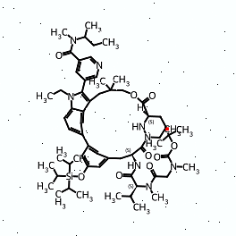 CCC(C)N(C)C(=O)c1cncc(-c2c3c4cc(ccc4n2CC)-c2cc(cc(O[Si](C(C)C)(C(C)C)C(C)C)c2)C[C@H](NC(=O)[C@H](C(C)C)N(C)C(=O)CN(C)C(=O)OC(C)(C)C)C(=O)N2CCC[C@H](N2)C(=O)OCC(C)(C)C3)c1